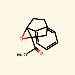 COC(=O)C12CCCCC1(c1ccccc1)O2